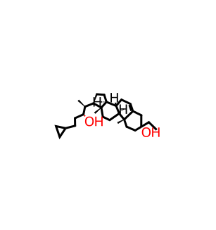 CC[C@]1(O)CC[C@@]2(C)C(=CC[C@H]3[C@@H]4CC[C@H]([C@H](C)[C@H](O)CCC5CC5)[C@@]4(C)CC[C@@H]32)C1